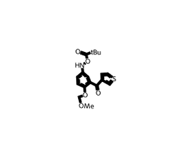 COCOc1ccc(NOC(=O)C(C)(C)C)cc1C(=O)c1ccsc1